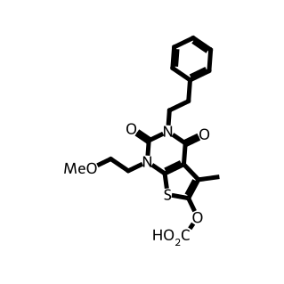 COCCn1c(=O)n(CCc2ccccc2)c(=O)c2c(C)c(OC(=O)O)sc21